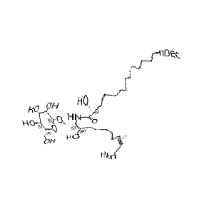 CCCCCCCCC/C=C\CCCC[C@@H](O)[C@H](CO[C@@H]1O[C@H](CO)[C@@H](O)C(O)C1O)NC(=O)[C@H](O)CCCCCCCCCCCCCCCCCCCCCC